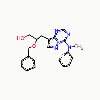 CN(c1ccccc1)c1ncnc2c(CC(CO)OCc3ccccc3)cnn12